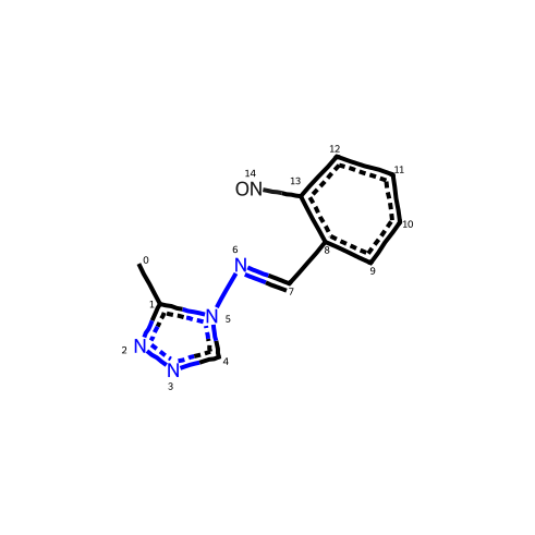 Cc1nncn1N=Cc1ccccc1N=O